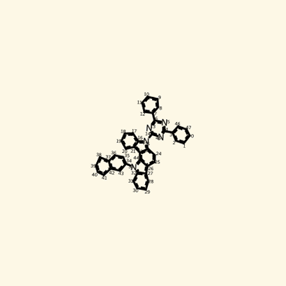 c1ccc(-c2nc(-c3ccccc3)nc(-n3c4ccccc4c4c3ccc3c5ccccc5n(-c5ccc6ccccc6c5)c34)n2)cc1